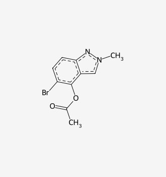 CC(=O)Oc1c(Br)ccc2nn(C)cc12